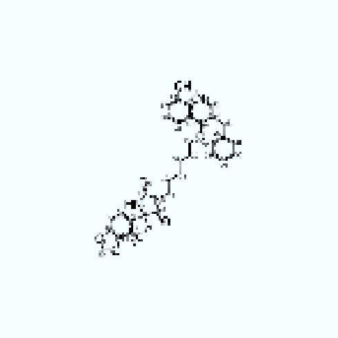 CCC1(c2ccc3c(c2)OCO3)NC(=O)N(CCCCCCOc2c(Cc3ccccc3)cnc3c(C)cccc23)C1=O